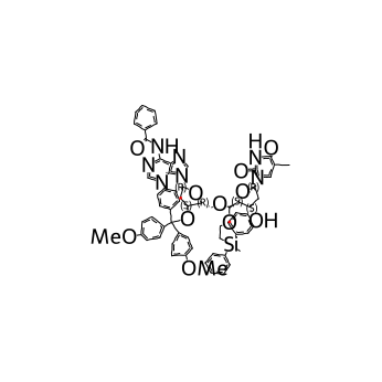 COc1ccc(C(O[C@H]2C[C@H](n3cnc4c(NC(=O)c5ccccc5)ncnc43)O[C@@H]2COC(OCC[Si](C)(c2ccccc2)c2ccccc2)[C@H]2O[C@@H](n3cc(C)c(=O)[nH]c3=O)C[C@@H]2O)(c2ccccc2)c2ccc(OC)cc2)cc1